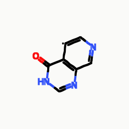 O=c1[nH]cnc2cnc[c]c12